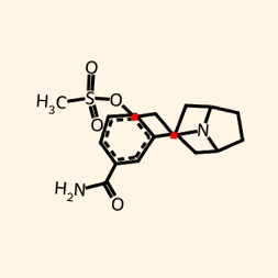 CS(=O)(=O)OCCCN1C2CCC1CC(c1cccc(C(N)=O)c1)C2